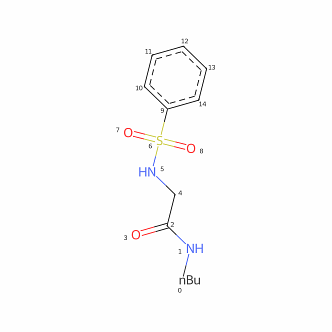 CCCCNC(=O)CNS(=O)(=O)c1ccccc1